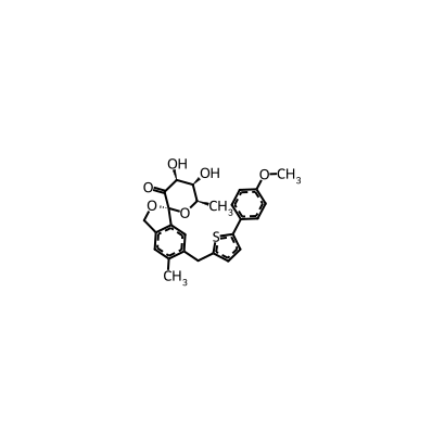 COc1ccc(-c2ccc(Cc3cc4c(cc3C)CO[C@]43O[C@H](C)[C@H](O)[C@H](O)C3=O)s2)cc1